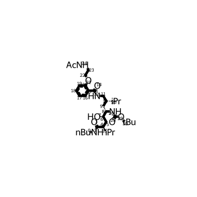 CCCCNC(=O)[C@@H](C[C@H](O)[C@H](C[C@H](CNC(=O)c1ccccc1OCCNC(C)=O)C(C)C)NC(=O)OC(C)(C)C)C(C)C